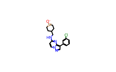 [O-][S+]1CCC(CNc2ccn3ncc(-c4cccc(Cl)c4)c3n2)CC1